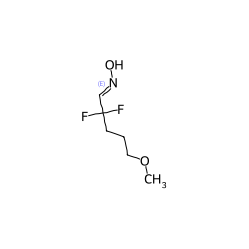 COCCCC(F)(F)/C=N/O